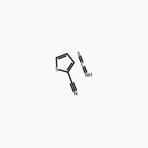 N#Cc1cccs1.N=C=S